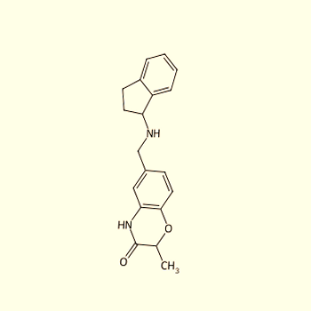 CC1Oc2ccc(CNC3CCc4ccccc43)cc2NC1=O